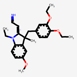 CCOc1ccc(CC2(C)/C(=C/C=N)N(CC)c3ccc(OC)cc32)cc1OCC